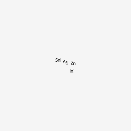 [Ag].[In].[Sn].[Zn]